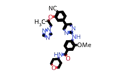 COc1cc(C(=O)NC2CCOCC2)ccc1Nc1ncc(-c2ccc(C#N)c(O[C@@H](C)Cn3cncn3)c2)cn1